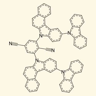 N#Cc1cc(-n2c3ccc(-n4c5ccccc5c5ccccc54)cc3c3c4ccccc4ccc32)c(C#N)c(-n2c3ccc(-n4c5ccccc5c5ccccc54)cc3c3c4ccccc4ccc32)c1